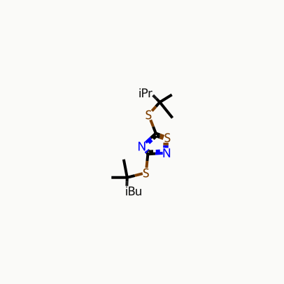 CCC(C)C(C)(C)Sc1nsc(SC(C)(C)C(C)C)n1